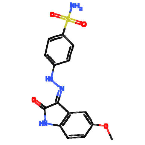 COc1ccc2c(c1)C(=NNc1ccc(S(N)(=O)=O)cc1)C(=O)N2